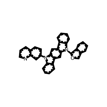 c1cnc2cc(-n3c4ccccc4c4cc5c(cc43)c3ccccc3n5-c3occ4ccccc34)ccc2c1